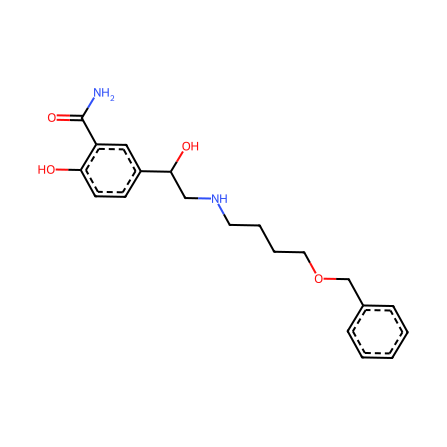 NC(=O)c1cc(C(O)CNCCCCOCc2ccccc2)ccc1O